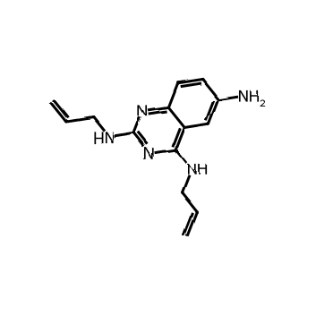 C=CCNc1nc(NCC=C)c2cc(N)ccc2n1